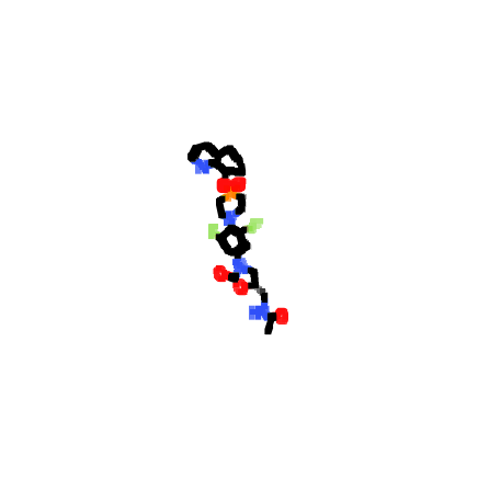 CC(=O)NC[C@H]1CN(c2cc(F)c(N3CCP(=O)(Oc4cccc5cccnc45)CC3)c(F)c2)C(=O)O1